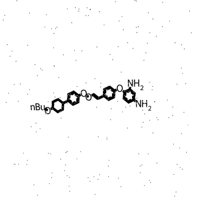 CCCCOC1CCC(c2ccc(OO/C=C/c3ccc(Oc4ccc(N)cc4N)cc3)cc2)CC1